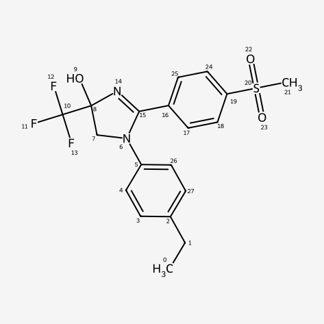 CCc1ccc(N2CC(O)(C(F)(F)F)N=C2c2ccc(S(C)(=O)=O)cc2)cc1